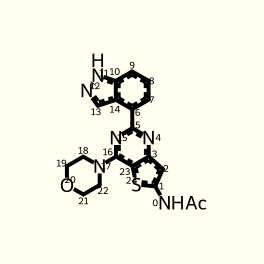 CC(=O)Nc1cc2nc(-c3cccc4[nH]ncc34)nc(N3CCOCC3)c2s1